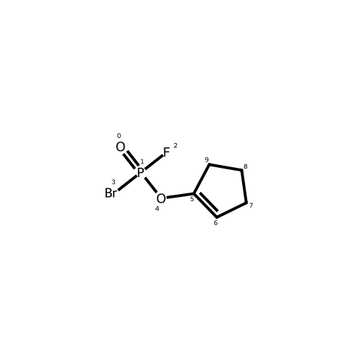 O=P(F)(Br)OC1=CCCC1